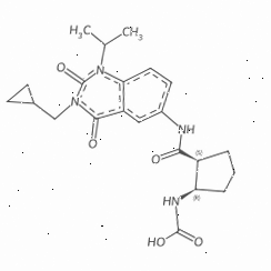 CC(C)n1c(=O)n(CC2CC2)c(=O)c2cc(NC(=O)[C@H]3CCC[C@H]3NC(=O)O)ccc21